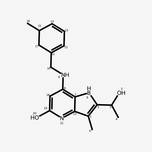 CC1=C(C(C)O)Bc2c(NCC3=CC=CC(C)C3)cc(O)nc21